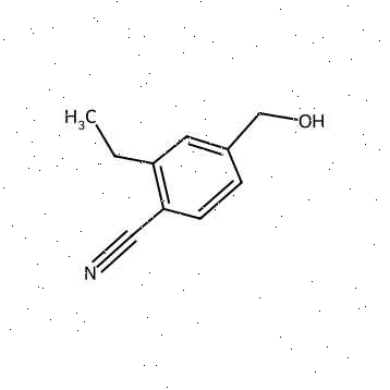 CCc1cc(CO)ccc1C#N